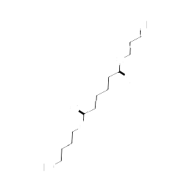 O=C(CCCCC(=O)OCCCCO)OCCCO